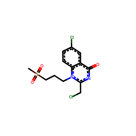 CS(=O)(=O)CCCn1c(CCl)nc(=O)c2cc(Cl)ccc21